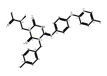 CC(=O)[C@@H](C)Cn1c(=O)[nH]/c(=N\c2ccc(Oc3ccc(C)cn3)cc2)n(Cc2ccc(C)cc2)c1=O